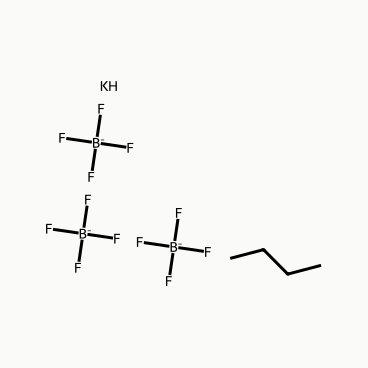 CCCC.F[B-](F)(F)F.F[B-](F)(F)F.F[B-](F)(F)F.[KH]